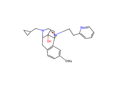 COc1ccc2c(c1)C13CCN(CC4CC4)C(C2)C1(O)CCCN(CCc1ccccn1)C3